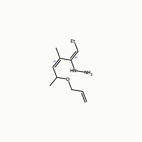 C=CCOC(C)/C=C(C)\C(=C/CC)NN